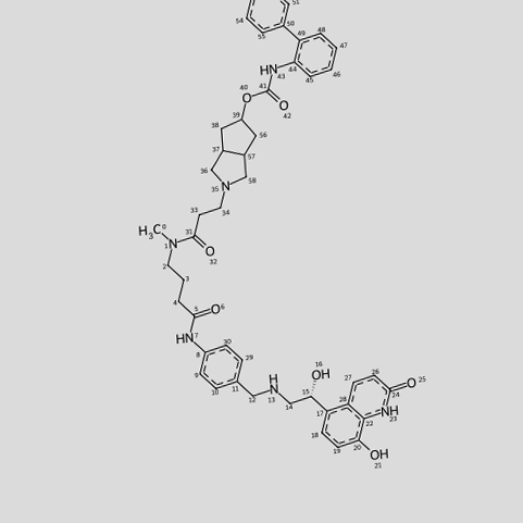 CN(CCCC(=O)Nc1ccc(CNC[C@H](O)c2ccc(O)c3[nH]c(=O)ccc23)cc1)C(=O)CCN1CC2CC(OC(=O)Nc3ccccc3-c3ccccc3)CC2C1